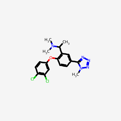 CC(c1cc(-c2nnnn2C)ccc1Oc1ccc(Cl)c(Cl)c1)N(C)C